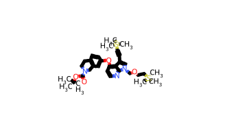 CC(C)(C)OC(=O)N1CCc2ccc(Oc3ccnc4c3c(C#CS(C)(C)C)cn4COCCS(C)(C)C)cc2C1